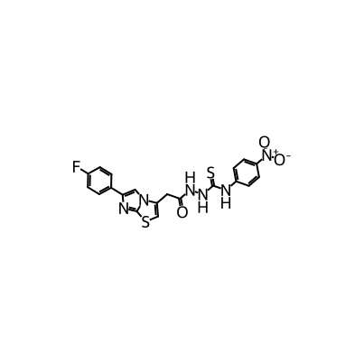 O=C(Cc1csc2nc(-c3ccc(F)cc3)cn12)NNC(=S)Nc1ccc([N+](=O)[O-])cc1